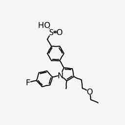 CCOCCc1cc(-c2ccc(CS(=O)O)cc2)n(-c2ccc(F)cc2)c1C